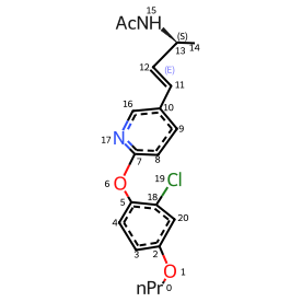 CCCOc1ccc(Oc2ccc(/C=C/[C@H](C)NC(C)=O)cn2)c(Cl)c1